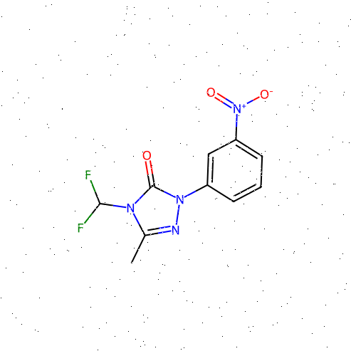 Cc1nn(-c2cccc([N+](=O)[O-])c2)c(=O)n1C(F)F